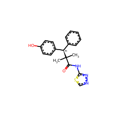 CC(C)(C(=O)Nc1nncs1)[C@H](c1ccccc1)c1ccc(O)cc1